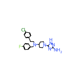 Nc1n[nH]c(N2CCC(N(CCc3ccc(Cl)cc3)Cc3ccc(F)cc3)CC2)n1